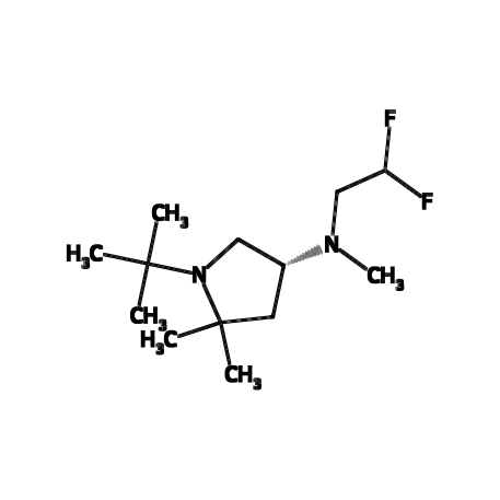 CN(CC(F)F)[C@H]1CN(C(C)(C)C)C(C)(C)C1